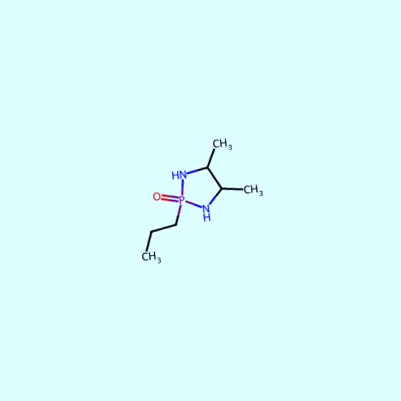 CCCP1(=O)NC(C)C(C)N1